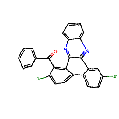 O=C(c1ccccc1)c1c(Br)ccc2c3ccc(Br)cc3c3nc4ccccc4nc3c12